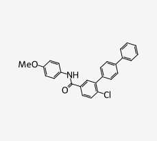 COc1ccc(NC(=O)c2ccc(Cl)c(-c3ccc(-c4ccccc4)cc3)c2)cc1